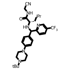 CC(C)C[C@H](NC(c1ccc(N2CCN(C(C)(C)C)CC2)cc1)c1ccc(C(F)(F)F)cn1)C(=O)NCC#N